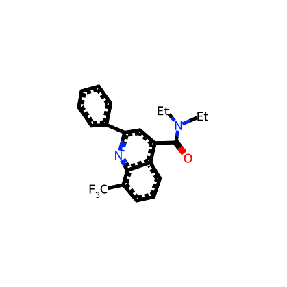 CCN(CC)C(=O)c1cc(-c2ccccc2)nc2c(C(F)(F)F)cccc12